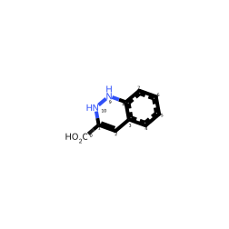 O=C(O)C1=Cc2ccccc2NN1